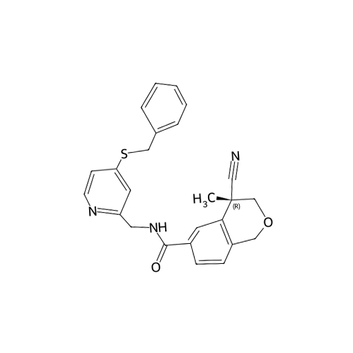 C[C@@]1(C#N)COCc2ccc(C(=O)NCc3cc(SCc4ccccc4)ccn3)cc21